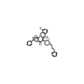 Cc1c(N2CCN(CCCc3ccccc3)CC2)c(=O)n(C[C@@H](N)c2ccccc2)c(=O)n1Cc1c(F)cccc1F